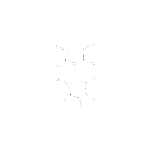 CC(C)OC(=O)N(C)C(=N)N(C)C(C)C.CCCOC(=O)N(C)C(=N)N(C)C(C)C